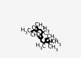 Cc1oc(C(C)C)cc1CC(C)c1cc(CC(C)c2cc(C)n(C)c2C)co1